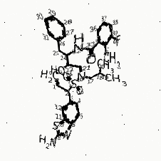 C=CC(c1ccc2nc(N)sc2c1)S(=O)(=O)N(CC(C)C)CC(O)C(Cc1ccccc1)NC(=O)c1cccc(F)c1C